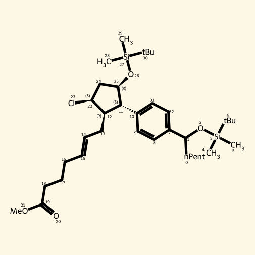 CCCCCC(O[Si](C)(C)C(C)(C)C)c1ccc([C@@H]2[C@@H](CC=CCCCC(=O)OC)[C@@H](Cl)C[C@H]2O[Si](C)(C)C(C)(C)C)cc1